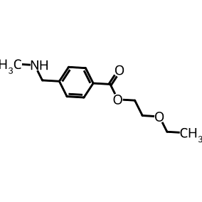 CCOCCOC(=O)c1ccc(CNC)cc1